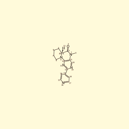 CN1C(=O)[C@H]2CCCCN2c2nc(-c3ccncc3)ncc21